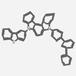 c1ccc(-c2cccc(-c3ccc(-n4c5ccccc5c5c6c7ccccc7n(-c7ccc8sc9ccccc9c8c7)c6ccc54)cc3)c2)cc1